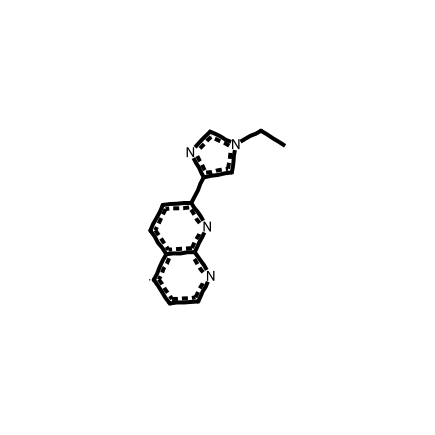 CCn1cnc(-c2ccc3[c]ccnc3n2)c1